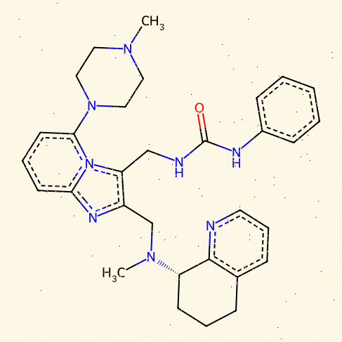 CN1CCN(c2cccc3nc(CN(C)[C@H]4CCCc5cccnc54)c(CNC(=O)Nc4ccccc4)n23)CC1